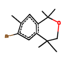 Cc1cc2c(cc1Br)C(C)(C)COC2(C)C